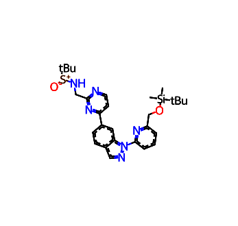 CC(C)(C)[S@@+]([O-])NCc1nccc(-c2ccc3cnn(-c4cccc(CO[Si](C)(C)C(C)(C)C)n4)c3c2)n1